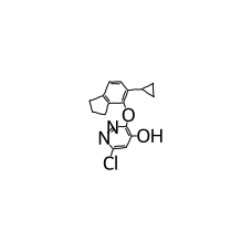 Oc1cc(Cl)nnc1Oc1c(C2CC2)ccc2c1CCC2